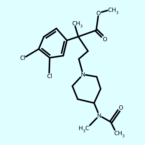 COC(=O)C(C)(CCN1CCC(N(C)C(C)=O)CC1)c1ccc(Cl)c(Cl)c1